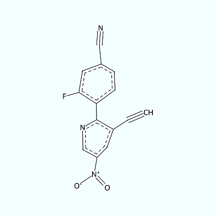 C#Cc1cc([N+](=O)[O-])cnc1-c1ccc(C#N)cc1F